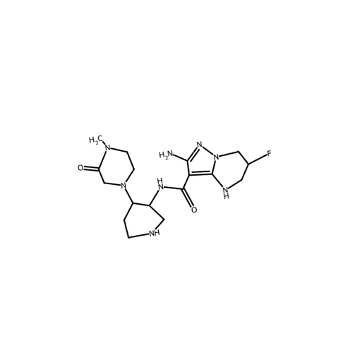 CN1CCN(C2CCNCC2NC(=O)c2c(N)nn3c2NCC(F)C3)CC1=O